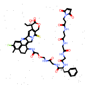 CC[C@@]1(O)C(=O)OCc2c1cc1n(c2=S)Cc2c-1nc1cc(F)c(C)c3c1c2C(NC(=O)COCNC(=O)CNC(=O)[C@H](Cc1ccccc1)NC(=O)CNC(=O)CNC(=O)CCNC(=O)CCN1C(=O)C=CC1=O)CC3